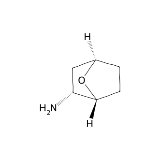 N[C@@H]1C[C@H]2CC[C@H]1O2